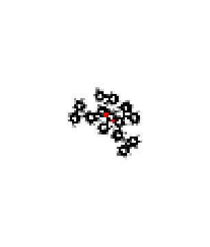 N#Cc1ccc(-c2c(-n3c4ccc(-n5c6ccccc6c6ccccc65)cc4c4cc(-n5c6ccccc6c6ccccc65)ccc43)cccc2-n2c3ccc(-n4c5ccccc5c5ccccc54)cc3c3cc(-n4c5ccccc5c5ccccc54)ccc32)cc1